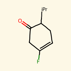 CC(C)C1CC=C(F)CC1=O